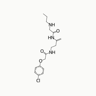 C=C(CCNC(=O)COc1ccc(Cl)cc1)NC(=O)CNCCC